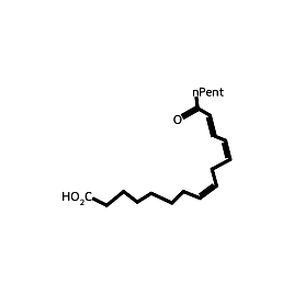 CCCCCC(=O)/C=C/C=C\C/C=C\CCCCCCC(=O)O